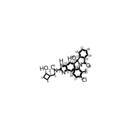 O=C(O)N(CC1CCC1)c1nc2ccc(C3(O)c4ccccc4C(=O)N3c3cccc(Cl)c3F)cc2[nH]1